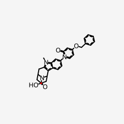 Cn1c2c(c3ccc(-n4ccc(OCc5ccccc5)cc4=O)cc31)C1CCCC(C2)N1C(=O)O